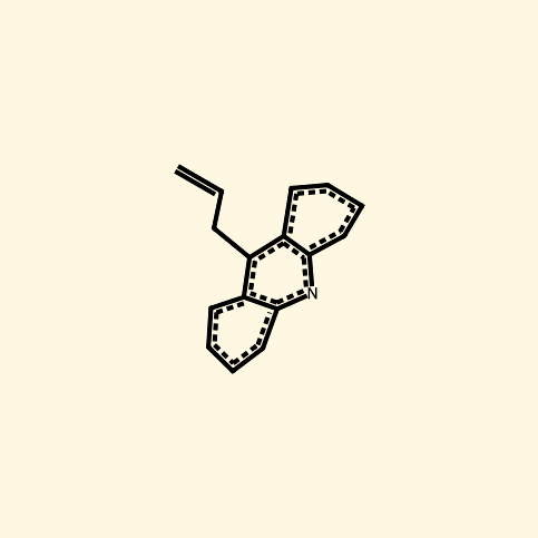 C=CCc1c2ccccc2nc2ccccc12